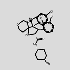 O=C(N[C@H]1CC[C@H](O)CC1)[C@@H]1NC2(CCOCC2)[C@]2(C(=O)Nc3cc(Cl)ccc32)[C@H]1c1cccc(Cl)c1F